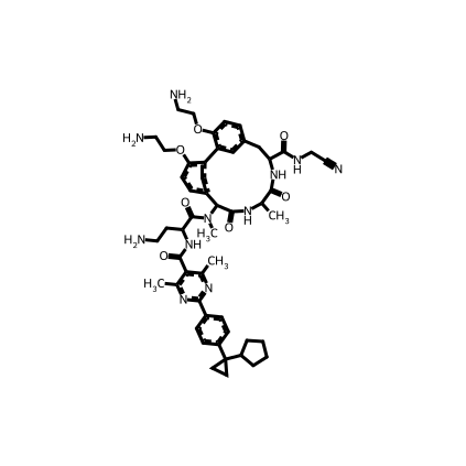 Cc1nc(-c2ccc(C3(C4CCCC4)CC3)cc2)nc(C)c1C(=O)NC(CCN)C(=O)N(C)C1C(=O)NC(C)C(=O)NC(C(=O)NCC#N)Cc2ccc(OCCN)c(c2)-c2cc1ccc2OCCN